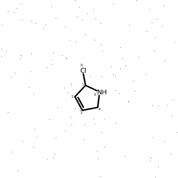 ClC1C=[C]CN1